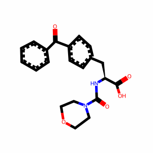 O=C(c1ccccc1)c1ccc(C[C@H](NC(=O)N2CCOCC2)C(=O)O)cc1